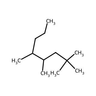 CCCC(C)C(C)CC(C)(C)C